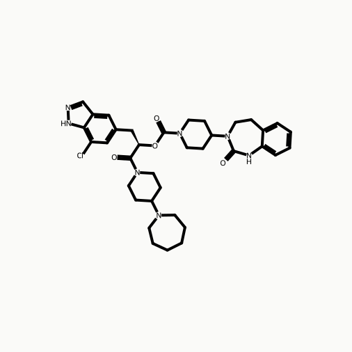 O=C(O[C@H](Cc1cc(Cl)c2[nH]ncc2c1)C(=O)N1CCC(N2CCCCCC2)CC1)N1CCC(N2CCc3ccccc3NC2=O)CC1